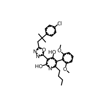 CCCCc1nc(O)c(-c2nnc(CC(C)(C)c3ccc(Cl)cc3)o2)c(O)c1-c1c(OC)cccc1OC